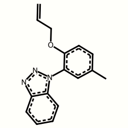 C=CCOc1ccc(C)cc1-n1nnc2ccccc21